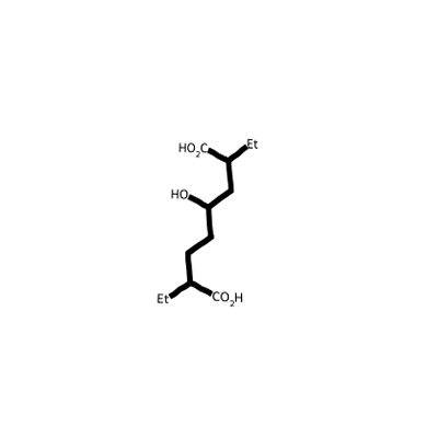 CCC(CCC(O)CC(CC)C(=O)O)C(=O)O